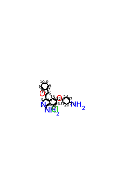 Nc1ncc(-c2cc3ccccc3o2)c2cc(OC3CCC(N)CC3)cc(Cl)c12